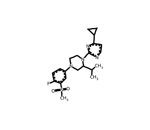 CC(C)C1CN(c2ccc(F)c(S(C)(=O)=O)c2)CCN1c1nccc(C2CC2)n1